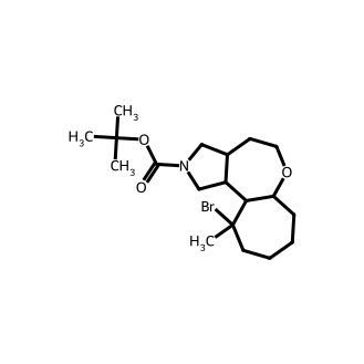 CC(C)(C)OC(=O)N1CC2CCOC3CCCCC(C)(Br)C3C2C1